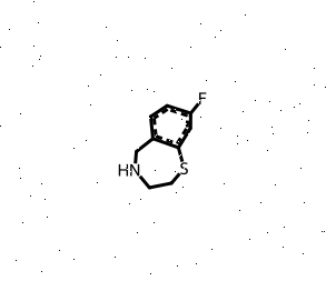 Fc1ccc2c(c1)SCCNC2